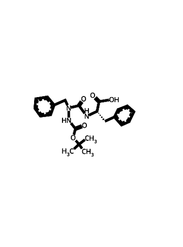 CC(C)(C)OC(=O)NN(Cc1ccccc1)C(=O)N[C@@H](Cc1ccccc1)C(=O)O